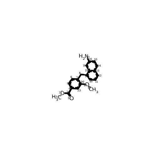 COC(=O)c1ccc(Cc2cccc3ccc(N)cc23)c(OC)c1